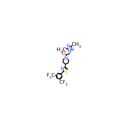 Cc1nc(C)n(CC(=O)N2CCC(c3csc(-c4cc(C(F)(F)F)cc(C(F)(F)F)c4)n3)CC2)n1